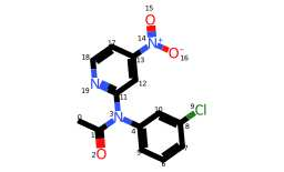 CC(=O)N(c1cccc(Cl)c1)c1cc([N+](=O)[O-])ccn1